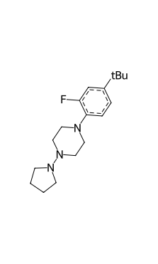 CC(C)(C)c1ccc(N2CCN(N3CCCC3)CC2)c(F)c1